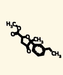 CCc1cccc(C2(C)OC(C(=O)OC)CC2=O)c1